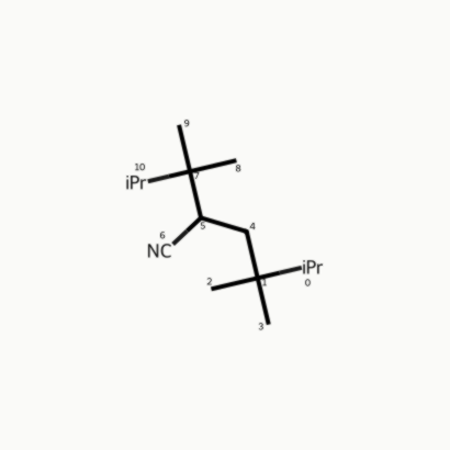 CC(C)C(C)(C)CC(C#N)C(C)(C)C(C)C